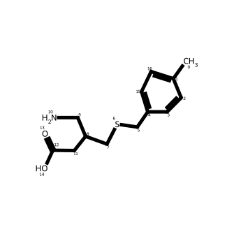 Cc1ccc(CSCC(CN)CC(=O)O)cc1